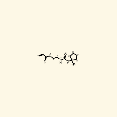 C=CC(=O)OCCNC(=O)OC1(C(C)C)CCCC1